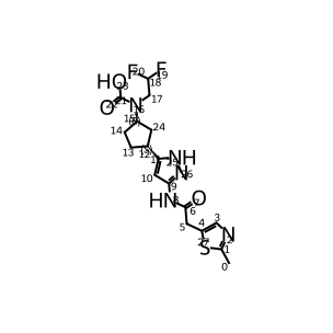 Cc1ncc(CC(=O)Nc2cc([C@H]3CC[C@@H](N(CC(F)F)C(=O)O)C3)[nH]n2)s1